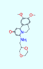 COc1cc2c(cc1OC)-c1cc(=O)cc(NCC3COCCO3)n1CC2